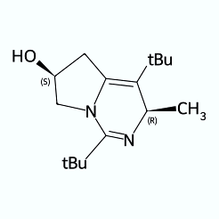 C[C@H]1N=C(C(C)(C)C)N2C[C@@H](O)CC2=C1C(C)(C)C